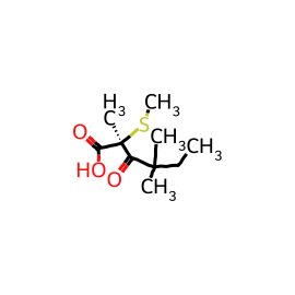 CCC(C)(C)C(=O)[C@](C)(SC)C(=O)O